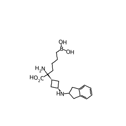 NC(CCCCB(O)O)(C(=O)O)[C@H]1C[C@@H](NC2Cc3ccccc3C2)C1